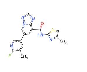 Cc1csc(NC(=O)c2cc(-c3cnc(F)c(C)c3)cn3ncnc23)n1